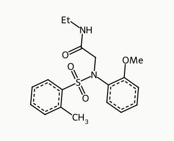 CCNC(=O)CN(c1ccccc1OC)S(=O)(=O)c1ccccc1C